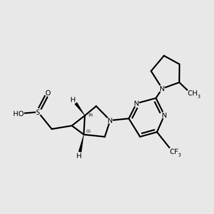 CC1CCCN1c1nc(N2C[C@@H]3C(CS(=O)O)[C@@H]3C2)cc(C(F)(F)F)n1